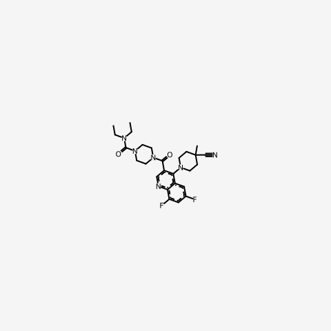 CCN(CC)C(=O)N1CCN(C(=O)c2cnc3c(F)cc(F)cc3c2N2CCC(C)(C#N)CC2)CC1